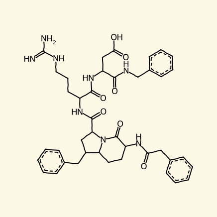 N=C(N)NCCCC(NC(=O)C1CC(Cc2ccccc2)C2CCC(NC(=O)Cc3ccccc3)C(=O)N12)C(=O)NC(CC(=O)O)C(=O)NCc1ccccc1